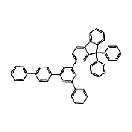 c1ccc(-c2ccc(-c3nc(-c4ccccc4)nc(-c4ccc5c(c4)C(c4ccccc4)(c4ccccc4)c4ccccc4-5)n3)cc2)cc1